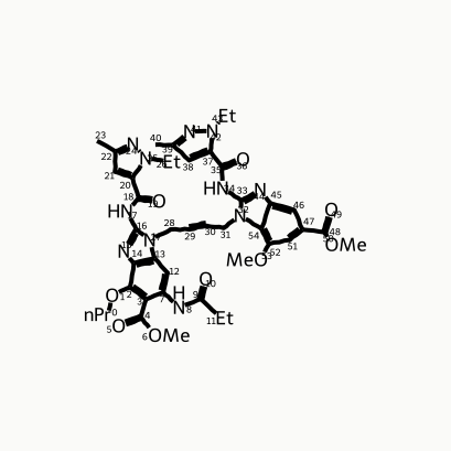 CCCOc1c(C(=O)OC)c(NC(=O)CC)cc2c1nc(NC(=O)c1cc(C)nn1CC)n2CC=CCn1c(NC(=O)c2cc(C)nn2CC)nc2cc(C(=O)OC)cc(OC)c21